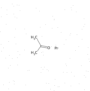 CC(C)=O.[Pr]